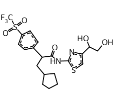 O=C(Nc1nc(C(O)CO)cs1)C(CC1CCCC1)c1ccc(S(=O)(=O)C(F)(F)F)cc1